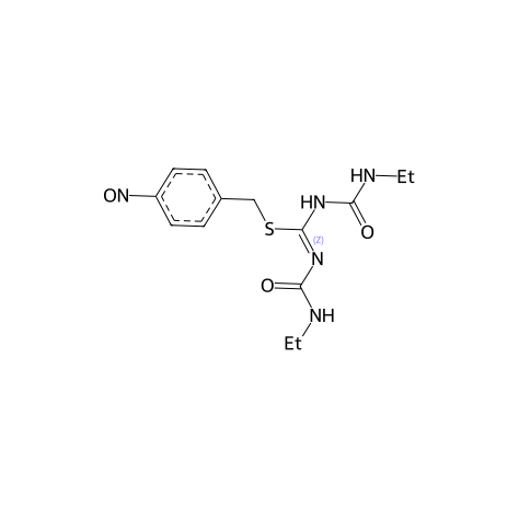 CCNC(=O)/N=C(/NC(=O)NCC)SCc1ccc(N=O)cc1